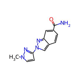 Cn1ccc(-n2cc3ccc(C(N)=O)cc3n2)n1